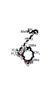 CNN(C)Cc1cc2cccnc2n1CCC(=O)NCCOCCOCCC(=O)N(C)[C@@H](C)C(=O)O[C@H]1CC(=O)N(C)c2cc(cc(OC)c2Cl)C/C(C)=C/C=C/[C@@H](OC)[C@@]2(O)C[C@H](OC(=O)N2)C2(C)C[C@@]1(C)O2